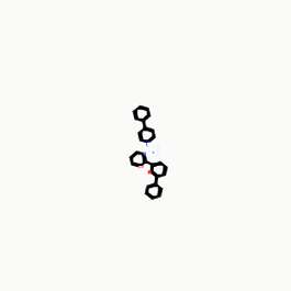 c1ccc(-c2ccc(Nc3cccc4oc5c(-c6ccccc6)cccc5c34)cc2)cc1